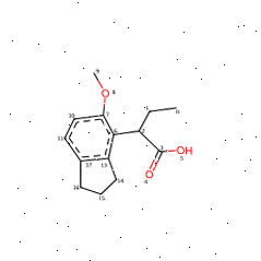 CCC(C(=O)O)c1c(OC)ccc2c1CCC2